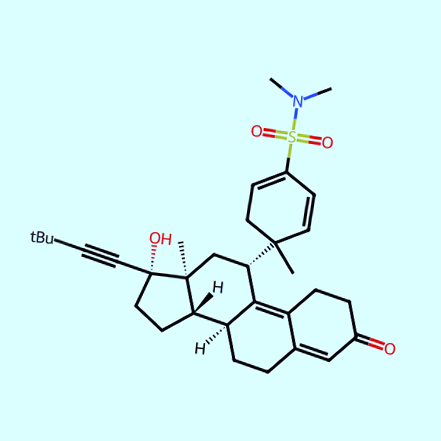 CN(C)S(=O)(=O)C1=CCC(C)([C@H]2C[C@@]3(C)[C@@H](CC[C@@]3(O)C#CC(C)(C)C)[C@@H]3CCC4=CC(=O)CCC4=C32)C=C1